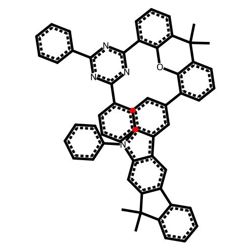 CC1(C)c2ccccc2-c2cc3c4cc(-c5cccc6c5Oc5c(-c7nc(-c8ccccc8)nc(-c8ccccc8)n7)cccc5C6(C)C)ccc4n(-c4ccccc4)c3cc21